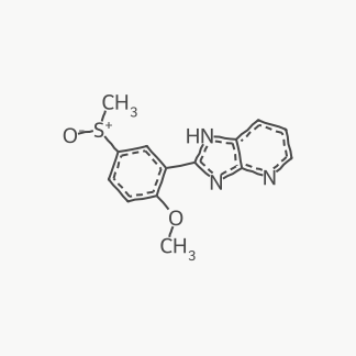 COc1ccc([S+](C)[O-])cc1-c1nc2ncccc2[nH]1